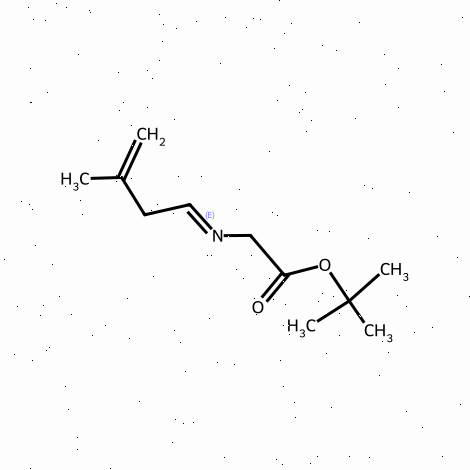 C=C(C)C/C=N/CC(=O)OC(C)(C)C